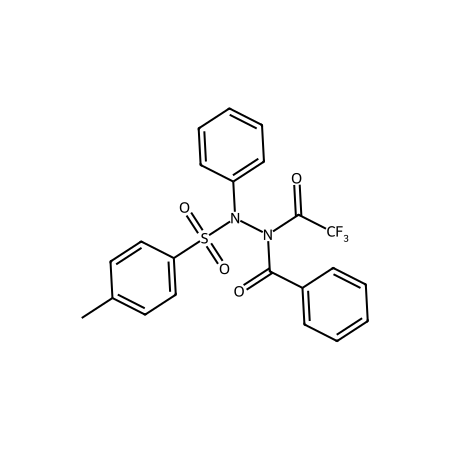 Cc1ccc(S(=O)(=O)N(c2ccccc2)N(C(=O)c2ccccc2)C(=O)C(F)(F)F)cc1